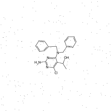 CC(O)c1c(Cl)nc(N)nc1N(Cc1ccccc1)Cc1ccccc1